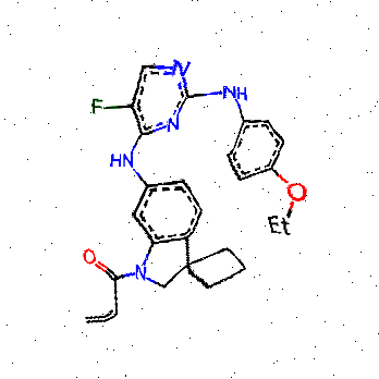 C=CC(=O)N1CC2(CCC2)c2ccc(Nc3nc(Nc4ccc(OCC)cc4)ncc3F)cc21